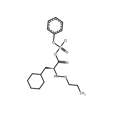 CCCON[C@@H](CC1CCCCC1)C(=O)OP(=O)(Cl)Oc1ccccc1